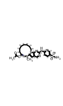 CC(=O)O/C1=N/N(C)c2cc3cnc(Nc4ccc(S(N)(=O)=O)cn4)nc3n2CCCCCCC1